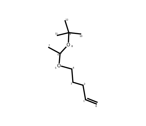 C=CCCCO[C](C)OC(C)(C)C